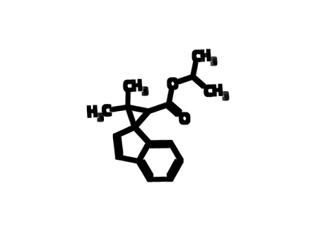 CC(C)OC(=O)C1C(C)(C)C12C=Cc1ccccc12